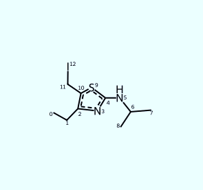 CCc1nc(NC(C)C)sc1CI